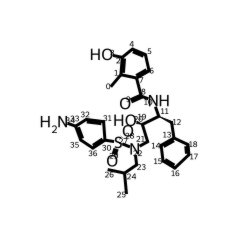 Cc1c(O)cccc1C(=O)N[C@@H](Cc1ccccc1)[C@H](O)CN(CC(C)C)S(=O)(=O)c1ccc(N)cc1